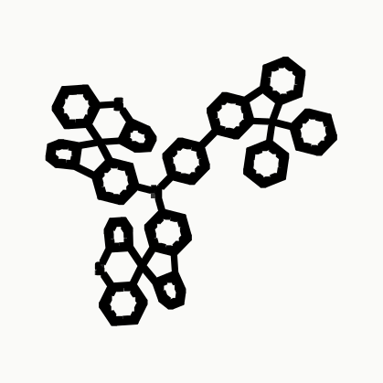 c1ccc(C2(c3ccccc3)c3ccccc3-c3ccc(-c4ccc(N(c5ccc6c(c5)C5(c7ccccc7Sc7ccccc75)c5ccccc5-6)c5ccc6c(c5)C5(c7ccccc7Sc7ccccc75)c5ccccc5-6)cc4)cc32)cc1